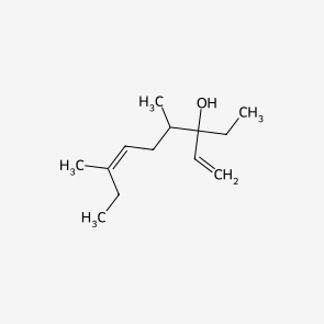 C=CC(O)(CC)C(C)CC=C(C)CC